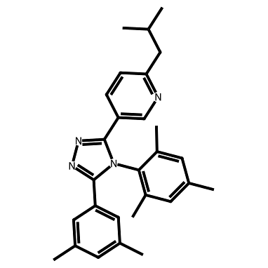 Cc1cc(C)cc(-c2nnc(-c3ccc(CC(C)C)nc3)n2-c2c(C)cc(C)cc2C)c1